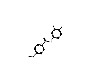 Cc1ccc(NC(=O)c2ccc(CCl)cc2)cc1[N+](=O)[O-]